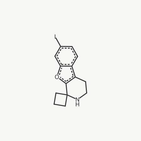 Ic1ccc2c3c(oc2c1)C1(CCC1)NCC3